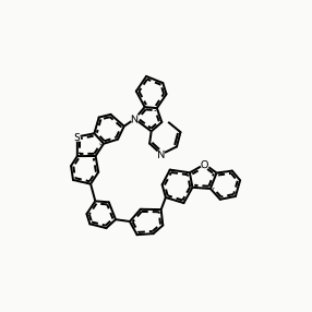 C/C=C\N=C/c1cc2ccccc2n1-c1ccc2sc3ccc(-c4cccc(-c5cccc(-c6ccc7oc8ccccc8c7c6)c5)c4)cc3c2c1